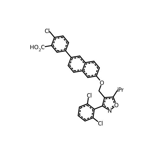 CC(C)c1onc(-c2c(Cl)cccc2Cl)c1COc1ccc2cc(-c3ccc(Cl)c(C(=O)O)c3)ccc2c1